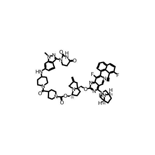 C#Cc1c(F)ccc2cccc(-c3ncc4c(N5C[C@H]6CC[C@@H](C5)N6)nc(OC[C@@]56CC[C@@H](COC(=O)N7CCC(C(=O)N8CCC(Nc9ccc%10c(N%11CCC(=O)NC%11=O)nn(C)c%10c9)CC8)CC7)N5CC(=C)C6)nc4c3F)c12